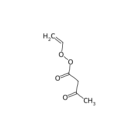 C=COOC(=O)CC(C)=O